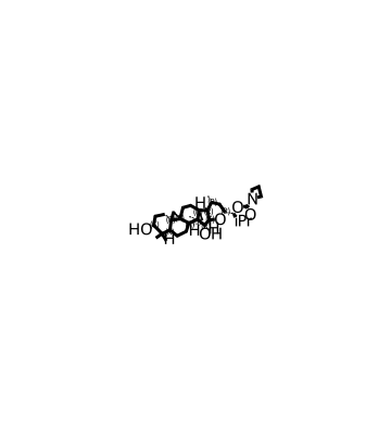 CC(C)C(OC(=O)N1CCC1)[C@H]1C[C@@H](C)[C@H]2[C@H](O1)[C@H](O)[C@@]1(C)[C@@H]3CC[C@H]4C(C)(C)[C@@H](O)CC[C@@]45C[C@@]35CC[C@]21C